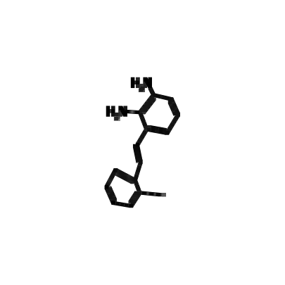 [CH2]c1ccccc1/C=C/c1cccc(N)c1N